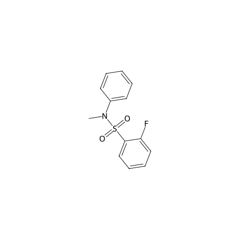 CN(c1ccccc1)S(=O)(=O)c1ccccc1F